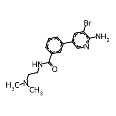 CN(C)CCNC(=O)c1cccc(-c2cnc(N)c(Br)c2)c1